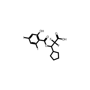 O=C(OC(C1CCCC1)C(F)(F)C(=O)O)c1c(O)cc(I)cc1I